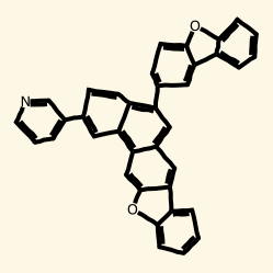 c1cncc(-c2ccc3c(-c4ccc5oc6ccccc6c5c4)cc4cc5c(cc4c3c2)oc2ccccc25)c1